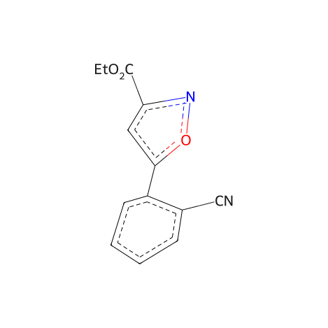 CCOC(=O)c1cc(-c2ccccc2C#N)on1